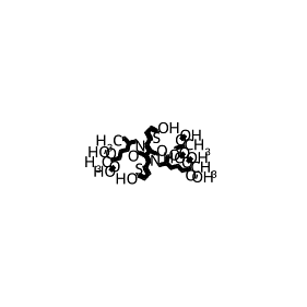 CCC(CCCC(C)(OO)OO)CN1C(=O)C2=C(c3ccc(O)s3)N(CC(CCCC(C)(OO)OO)COCC(C)(OO)OO)C(=O)C2=C1c1ccc(O)s1